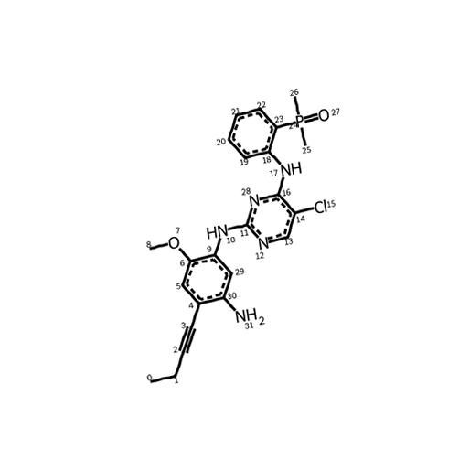 CCC#Cc1cc(OC)c(Nc2ncc(Cl)c(Nc3ccccc3P(C)(C)=O)n2)cc1N